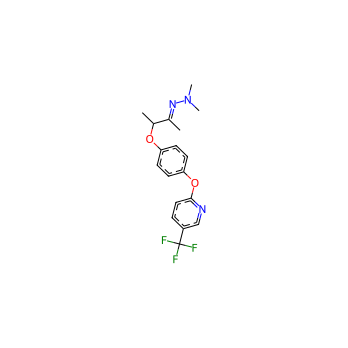 C/C(=N\N(C)C)C(C)Oc1ccc(Oc2ccc(C(F)(F)F)cn2)cc1